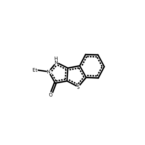 CCn1[nH]c2c(sc3ccccc32)c1=O